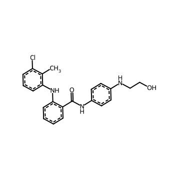 Cc1c(Cl)cccc1Nc1ccccc1C(=O)Nc1ccc(NCCO)cc1